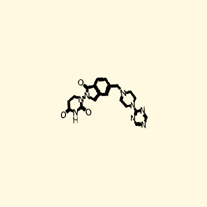 O=C1CCN(N2Cc3cc(CN4CCN(c5ncncn5)CC4)ccc3C2=O)C(=O)N1